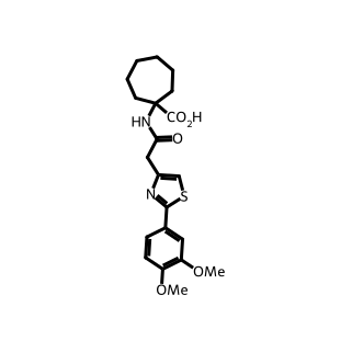 COc1ccc(-c2nc(CC(=O)NC3(C(=O)O)CCCCCC3)cs2)cc1OC